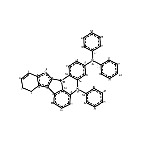 C1=Cc2sc3c(c2CC1)-c1cccc2c1B3c1ccc(N(c3ccccc3)c3ccccc3)cc1N2c1ccccc1